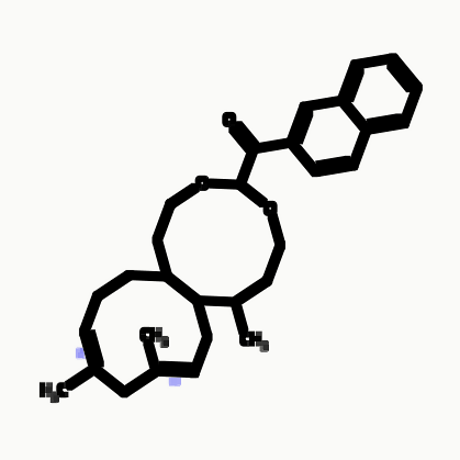 C/C1=C/CCC2CCOC(C(=O)c3ccc4ccccc4c3)OCCC(C)C2C/C=C(\C)C1